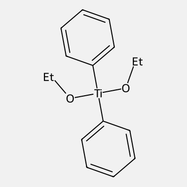 CC[O][Ti]([O]CC)([c]1ccccc1)[c]1ccccc1